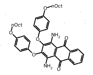 CCCCCCCCOc1ccc(Oc2c(N)c3c(c(N)c2Oc2ccc(OCCCCCCCC)cc2)C(=O)c2ccccc2C3=O)cc1